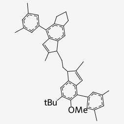 COc1c(C(C)(C)C)cc2c(c1-c1cc(C)cc(C)c1)C=C(C)C2CCC1C(C)=Cc2c1cc1c(c2-c2cc(C)cc(C)c2)CCC1